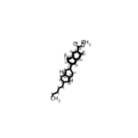 CCCCCC1CC[C@@H]2CC(c3cc(F)c4cc(C(=O)OC)c(F)cc4c3)CC[C@H]2C1